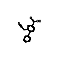 N#CCc1cc(C(=O)O)ccc1-c1ccccc1